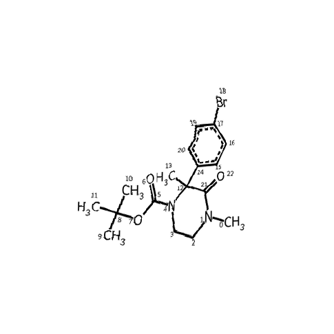 CN1CCN(C(=O)OC(C)(C)C)C(C)(c2ccc(Br)cc2)C1=O